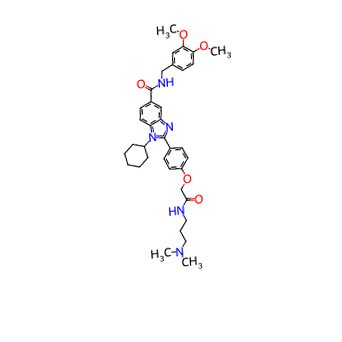 COc1ccc(CNC(=O)c2ccc3c(c2)nc(-c2ccc(OCC(=O)NCCCN(C)C)cc2)n3C2CCCCC2)cc1OC